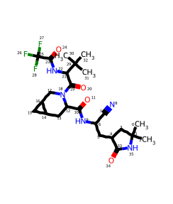 CC1(C)CC(CC(C#N)NC(=O)C2CC3CC3CN2C(=O)C(NC(=O)C(F)(F)F)C(C)(C)C)C(=O)N1